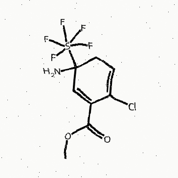 COC(=O)C1=CC(N)(S(F)(F)(F)(F)F)CC=C1Cl